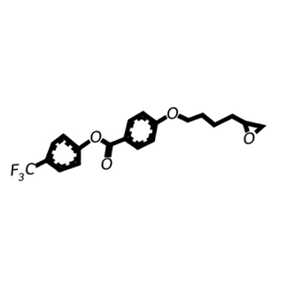 O=C(Oc1ccc(C(F)(F)F)cc1)c1ccc(OCCCCC2CO2)cc1